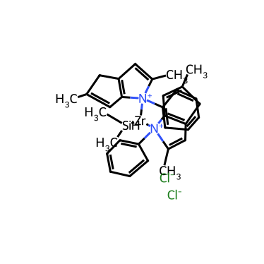 CC1=CC2=C(C=C(C)[N+]2(c2ccccc2)[Zr]([SiH](C)C)[N+]2(c3ccccc3)C(C)=CC3=C2C=C(C)C3)C1.[Cl-].[Cl-]